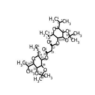 CSC1OC(C(C)C)C2OC(C)(C)OC2C1OC(=O)CC(=O)OC1C(SC)OC(C(C)C)C2OC(C)(C)OC12